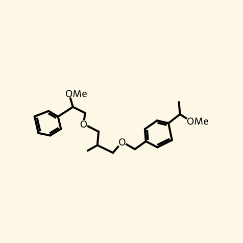 COC(C)c1ccc(COCC(C)COCC(OC)c2ccccc2)cc1